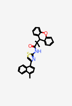 Cc1ccc(-c2csc(NC(=O)C(C)(C)C3c4ccccc4Oc4ccccc43)n2)c2ccccc12